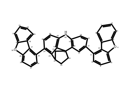 c1ccc2c(c1)oc1cccc(-c3ccc4c(c3)C35CCC(C3)c3c(-c6cccc7oc8ccccc8c67)ccc(c35)N4)c12